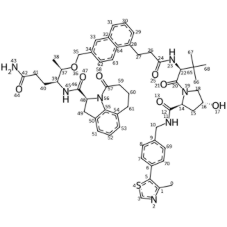 Cc1ncsc1-c1ccc(CNC(=O)[C@@H]2C[C@@H](O)CN2C(=O)[C@@H](NC(=O)CCc2cccc3cc(CO[C@H](C)[C@H](CCC(N)=O)NC(=O)[C@@H]4Cc5cccc6c5N4C(=O)CCC6)ccc23)C(C)(C)C)cc1